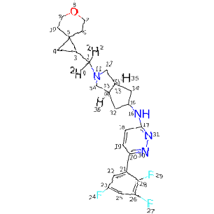 [2H]C([2H])(C1CC12CCOCC2)N1C[C@H]2CC(Nc3ccc(-c4cc(F)cc(F)c4F)nn3)C[C@H]2C1